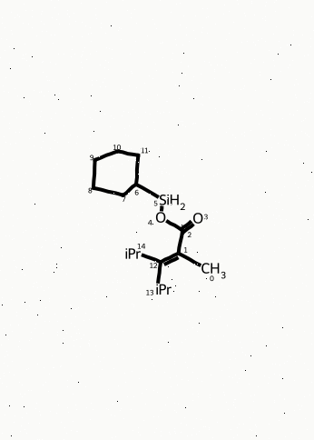 CC(C(=O)O[SiH2]C1CCCCC1)=C(C(C)C)C(C)C